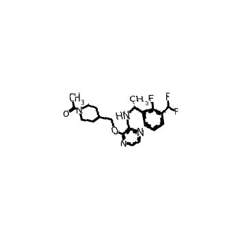 CC(=O)N1CCC(COc2nccnc2N[C@H](C)c2cccc(C(F)F)c2F)CC1